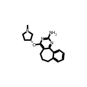 CN1CC[C@@H](Oc2nc(N)nc3c2CCCc2ccccc2-3)C1